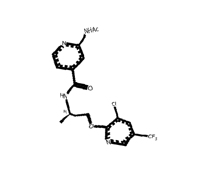 CC(=O)Nc1cc(C(=O)N[C@H](C)COc2ncc(C(F)(F)F)cc2Cl)ccn1